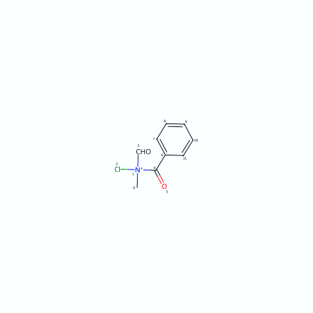 C[N+](Cl)(C=O)C(=O)c1ccccc1